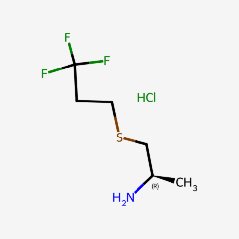 C[C@@H](N)CSCCC(F)(F)F.Cl